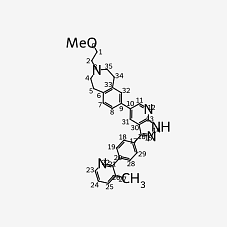 COCCN1CCc2ccc(-c3cnc4[nH]nc(-c5ccc(-c6ncccc6C)cc5)c4c3)cc2CC1